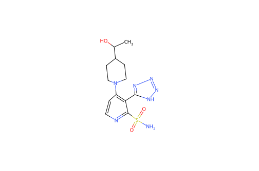 CC(O)C1CCN(c2ccnc(S(N)(=O)=O)c2-c2nnn[nH]2)CC1